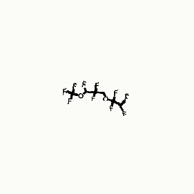 FC(OC(F)(F)F)C(F)(F)COC(F)(F)C(F)F